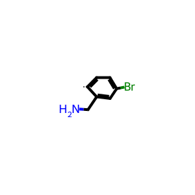 NCc1[c]ccc(Br)c1